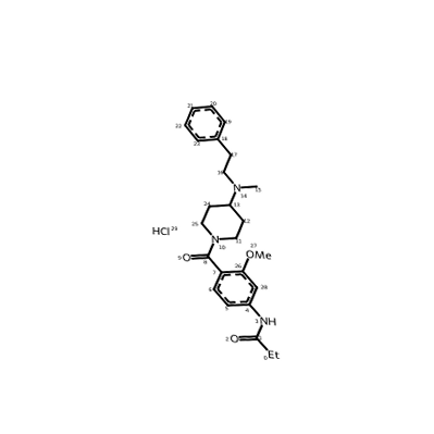 CCC(=O)Nc1ccc(C(=O)N2CCC(N(C)CCc3ccccc3)CC2)c(OC)c1.Cl